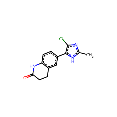 Cc1nc(Cl)c(-c2ccc3c(c2)CCC(=O)N3)[nH]1